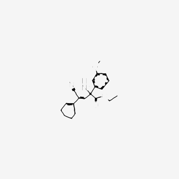 CCOC(=O)C(N)(/C=C(\C#N)C1=CCCCC1)c1cccc(OC)c1